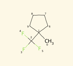 CC1(C(F)(F)F)CCCC1